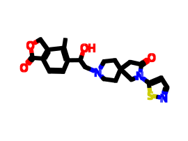 Cc1c(C(O)CN2CCC3(CC2)CC(=O)N(c2ccns2)C3)ccc2c1COC2=O